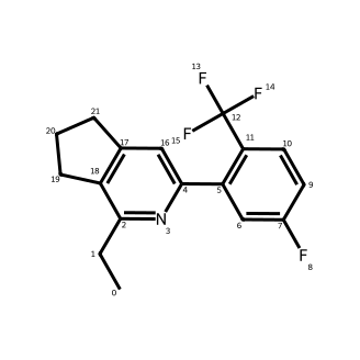 CCc1nc(-c2cc(F)ccc2C(F)(F)F)cc2c1CCC2